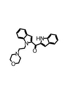 O=C(c1cc2ccccc2[nH]1)c1cc2ccccc2n1CCN1CCOCC1